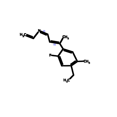 C=C/N=C\C=C(/C)c1cc(C)c(CC)cc1F